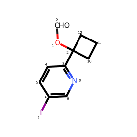 O=COC1(c2ccc(I)cn2)CCC1